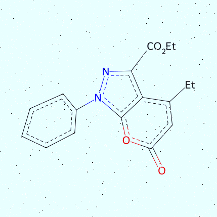 CCOC(=O)c1nn(-c2ccccc2)c2oc(=O)cc(CC)c12